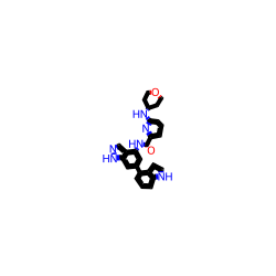 O=C(Nc1cc(-c2cccc3[nH]ccc23)cc2[nH]ncc12)c1cccc(NC2CCOCC2)n1